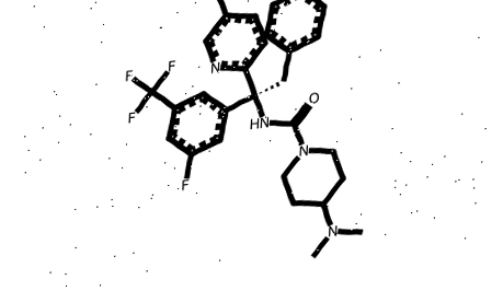 CN(C)C1CCN(C(=O)N[C@@](Cc2ccccc2)(c2cc(F)cc(C(F)(F)F)c2)c2ccc(Cl)cn2)CC1